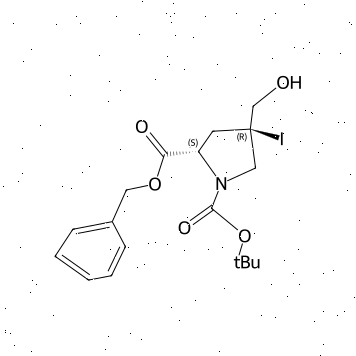 CC(C)(C)OC(=O)N1C[C@@](I)(CO)C[C@H]1C(=O)OCc1ccccc1